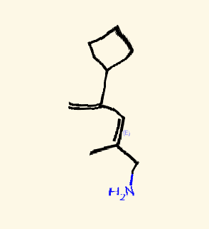 C=C(/C=C(\C)CN)C1CCC1